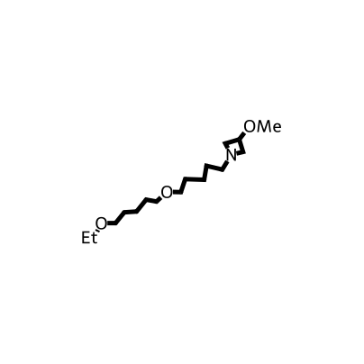 CCOCCCCCOCCCCCN1CC(OC)C1